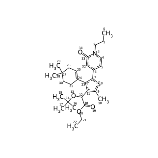 CCCn1ccc(-c2sc(C)c(C(OC(C)(C)C)C(=O)OCC)c2C2=CCC(C)(C)CC2)cc1=O